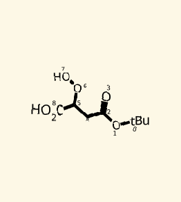 CC(C)(C)OC(=O)CC(OO)C(=O)O